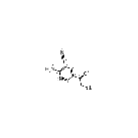 N#Cc1cc(C(=O)CCl)cnc1N